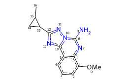 COc1cccc2c1nc(N)n1nc(C3CC3C)nc21